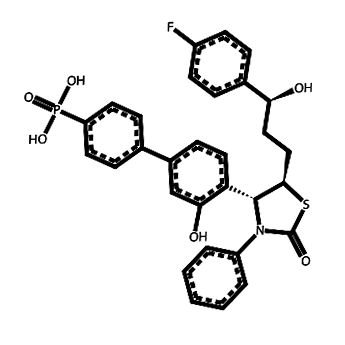 O=C1S[C@H](CC[C@H](O)c2ccc(F)cc2)[C@@H](c2ccc(-c3ccc(P(=O)(O)O)cc3)cc2O)N1c1ccccc1